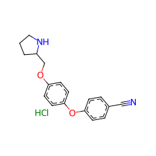 Cl.N#Cc1ccc(Oc2ccc(OCC3CCCN3)cc2)cc1